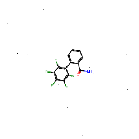 NC(=O)c1ccccc1-c1c(F)c(F)c(F)c(F)c1F